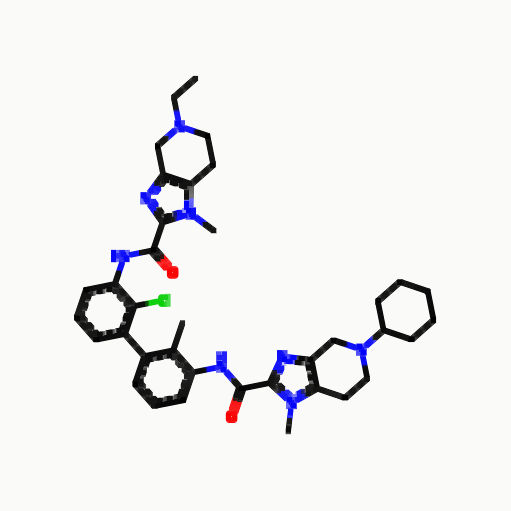 CCN1CCc2c(nc(C(=O)Nc3cccc(-c4cccc(NC(=O)c5nc6c(n5C)CCN(C5CCCCC5)C6)c4C)c3Cl)n2C)C1